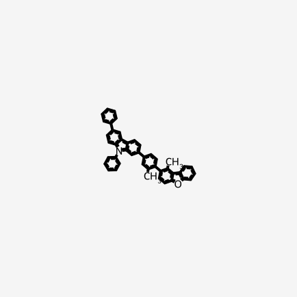 Cc1cc(-c2ccc3c4cc(-c5ccccc5)ccc4n(-c4ccccc4)c3c2)ccc1-c1ccc2oc3ccccc3c2c1C